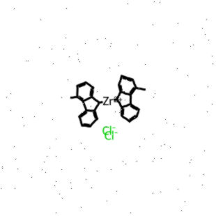 Cc1cccc2c1-c1ccccc1[CH]2[Zr+2][CH]1c2ccccc2-c2c(C)cccc21.[Cl-].[Cl-]